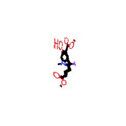 COC(=O)CCCc1c(I)c2cc(C(=O)OC)c(O)cc2n1C